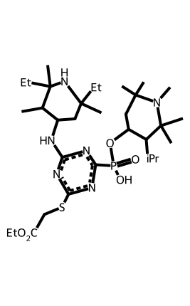 CCOC(=O)CSc1nc(NC2CC(C)(CC)NC(C)(CC)C2C)nc(P(=O)(O)OC2CC(C)(C)N(C)C(C)(C)C2C(C)C)n1